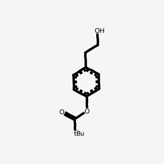 CC(C)(C)C(=O)Oc1ccc(CCO)cc1